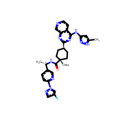 CO[C@]1(C(=O)N[C@@H](C)c2ccc(-n3cc(F)cn3)nc2)CC[C@H](c2nc(Nc3cc(C)[nH]n3)c3ccncc3n2)CC1